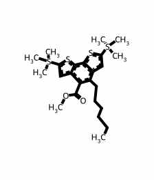 CCCCCCc1c(C(=O)OC)c2cc(S(C)(C)C)sc2c2sc(S(C)(C)C)cc12